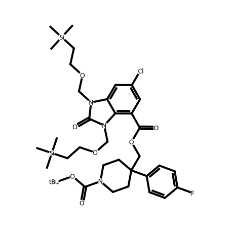 CC(C)(C)OC(=O)N1CCC(COC(=O)c2cc(Cl)cc3c2n(COCC[Si](C)(C)C)c(=O)n3COCC[Si](C)(C)C)(c2ccc(F)cc2)CC1